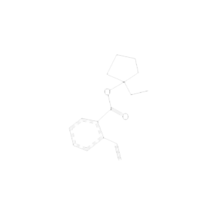 C=Cc1ccccc1C(=O)OC1(CC)CCCC1